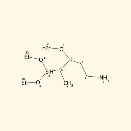 CCCOC(CCN)C(C)[SiH](OCC)OCC